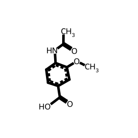 COc1cc(C(=O)O)ccc1NC(C)=O